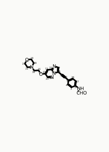 O=CNc1ccc(C#Cc2cnc3cc(OCCN4CCOCC4)cnn23)cc1